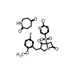 COc1ccc(F)cc1CC1CN2C(=O)CC2(S(=O)(=O)c2ccc(Cl)nc2)C1=O.O=C1CCNC(=O)CC1